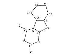 CC1CC(C)C2C(C1)CC1CCCCC12